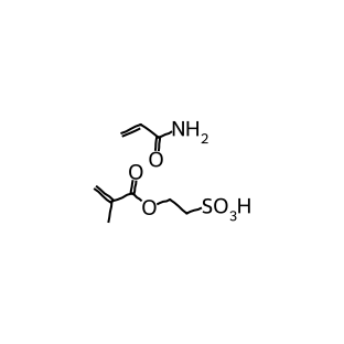 C=C(C)C(=O)OCCS(=O)(=O)O.C=CC(N)=O